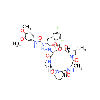 COc1ccc(NC(=O)N[C@@H](Cc2cc(F)cc(F)c2)C(=O)N[C@@H]2C(=O)N3CCC[C@H]3C(=O)N3CCCC[C@H]3C(=O)N[C@@H](C)C(=O)N3C[C@@H](C)C[C@H]3C(=O)O[C@H]2C)cc1OC